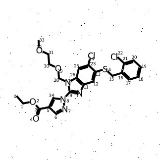 CCOC(=O)c1cnn(-c2nc3cc(SCc4ccccc4Cl)c(Cl)cc3n2COCCOC)c1